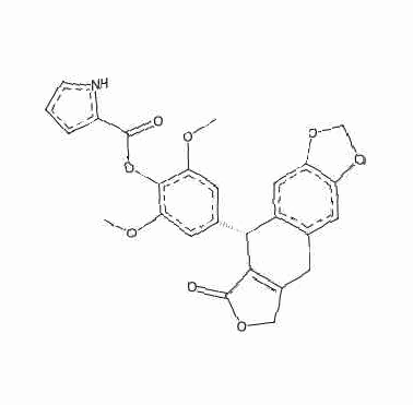 COc1cc([C@H]2C3=C(COC3=O)Cc3cc4c(cc32)OCO4)cc(OC)c1OC(=O)c1ccc[nH]1